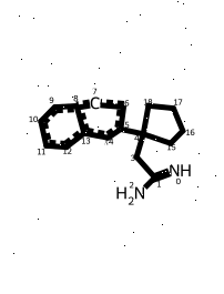 N=C(N)CC1(c2ccc3ccccc3c2)CCCC1